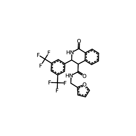 O=C1NC(c2cc(C(F)(F)F)cc(C(F)(F)F)c2)C(C(=O)NCc2ccco2)c2ccccc21